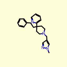 Cn1cc(CN2CCC(CCc3ccccc3)(c3ccccn3)CC2)cn1